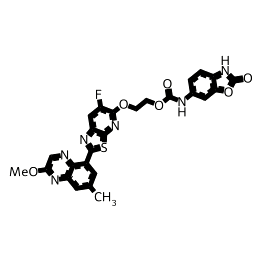 COc1cnc2c(-c3nc4cc(F)c(OCCOC(=O)Nc5ccc6[nH]c(=O)oc6c5)nc4s3)cc(C)cc2n1